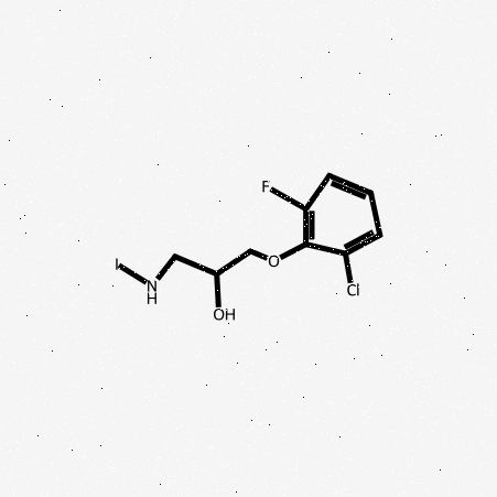 OC(CNI)COc1c(F)cccc1Cl